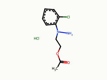 CC(=O)OCCN(N)c1ccccc1Cl.Cl